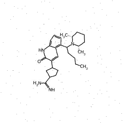 CCCCC(c1cccc2[nH]c(=O)c(C3CCC(C(=N)N)C3)cc12)N1[C@H](C)CCC[C@@H]1C